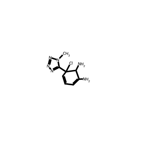 Cn1nnnc1C1(Cl)C=CC=C(N)C1N